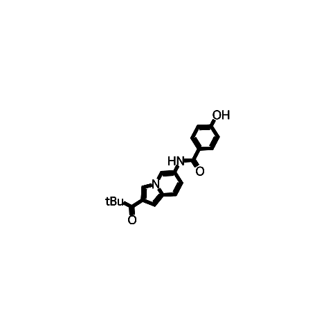 CC(C)(C)C(=O)c1cc2ccc(NC(=O)c3ccc(O)cc3)cn2c1